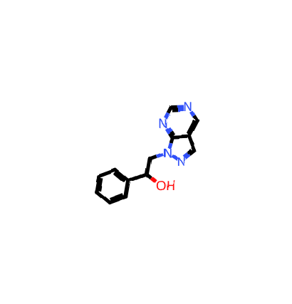 OC(Cn1ncc2cncnc21)c1ccccc1